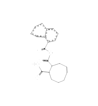 O=C(OC(=O)C1CCCCCCC1C(=O)O)c1cccc2ccccc12